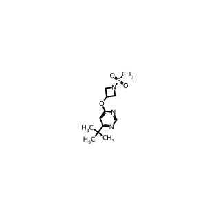 CC(C)(C)c1cc(OC2CN(S(C)(=O)=O)C2)ncn1